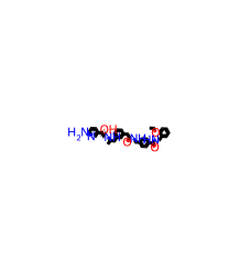 CCOc1ccccc1CNC(=O)c1ccc(CNC(=O)Cc2cccc(CC(C)NC[C@@H](O)c3ccc(N)nc3)c2)cc1